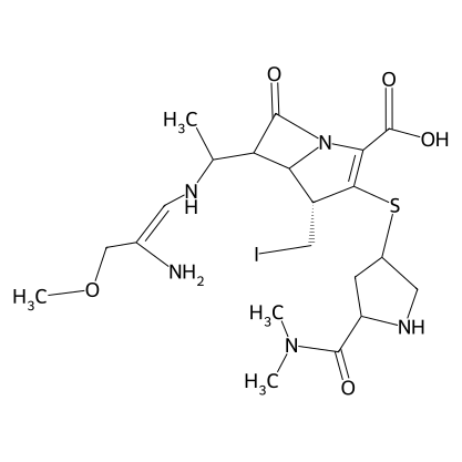 COC/C(N)=C/NC(C)C1C(=O)N2C(C(=O)O)=C(SC3CNC(C(=O)N(C)C)C3)[C@H](CI)C12